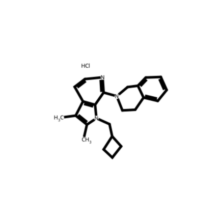 Cc1c(C)n(CC2CCC2)c2c(N3CCc4ccccc4C3)nccc12.Cl